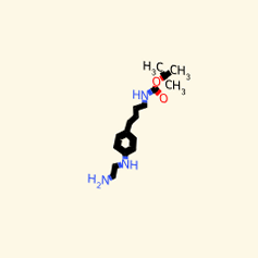 CC(C)(C)OC(=O)NCCCCc1ccc(NCCN)cc1